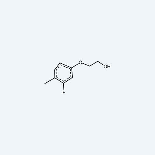 Cc1ccc(OCCO)cc1F